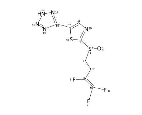 [O-][S+](CCC(F)=C(F)F)c1ncc(-c2nn[nH]n2)s1